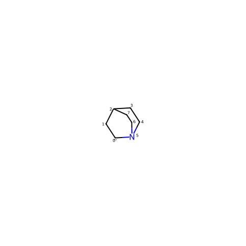 [C]1CC2CCN1CC2